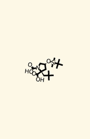 CC(C)(C)C[C@]1(C(=O)O)C[C@@H](O[Si](C)(C)C(C)(C)C)CN1C(=O)O